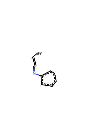 CC(C)C=C=Nc1ccccc1